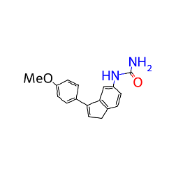 COc1ccc(C2=CCc3ccc(NC(N)=O)cc32)cc1